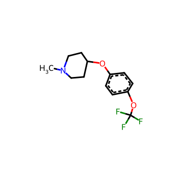 CN1CCC(Oc2ccc(OC(F)(F)F)cc2)CC1